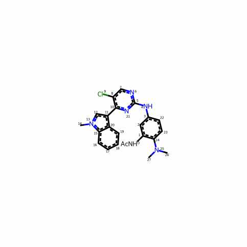 CC(=O)Nc1cc(Nc2ncc(Cl)c(-c3cn(C)c4ccccc34)n2)ccc1N(C)C